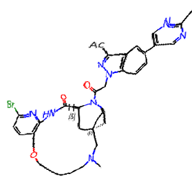 CC(=O)c1nn(CC(=O)N2C3C[C@]34C[C@H]2C(=O)Nc2nc(Br)ccc2COCCCCN(C)C4)c2ccc(-c3cnc(C)nc3)cc12